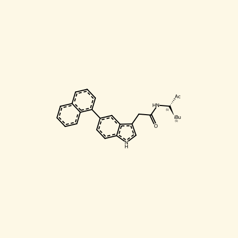 CC[C@H](C)[C@H](NC(=O)Cc1c[nH]c2ccc(-c3cccc4ccccc34)cc12)C(C)=O